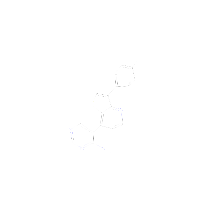 Nc1ncncc1-c1ccnc2c(-c3ccc(F)cc3)csc12